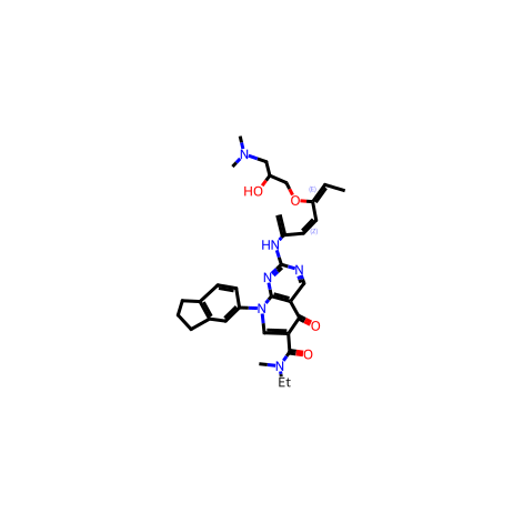 C=C(/C=C\C(=C/C)OCC(O)CN(C)C)Nc1ncc2c(=O)c(C(=O)N(C)CC)cn(-c3ccc4c(c3)CCC4)c2n1